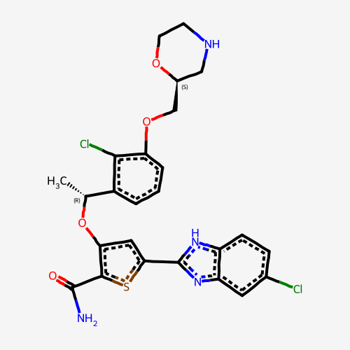 C[C@@H](Oc1cc(-c2nc3cc(Cl)ccc3[nH]2)sc1C(N)=O)c1cccc(OC[C@@H]2CNCCO2)c1Cl